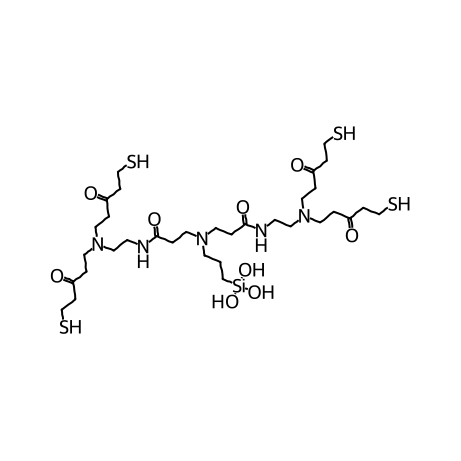 O=C(CCS)CCN(CCNC(=O)CCN(CCC[Si](O)(O)O)CCC(=O)NCCN(CCC(=O)CCS)CCC(=O)CCS)CCC(=O)CCS